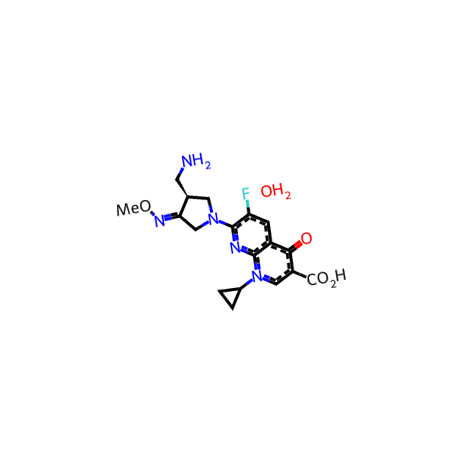 CON=C1CN(c2nc3c(cc2F)c(=O)c(C(=O)O)cn3C2CC2)C[C@@H]1CN.O